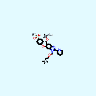 CC(C)S(=O)(=O)c1ccc(Oc2cc3c(cc2CO[Si](C)(C)C(C)(C)C)nc(-c2ccccn2)n3COCC[Si](C)(C)C)cc1